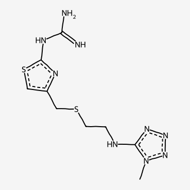 Cn1nnnc1NCCSCc1csc(NC(=N)N)n1